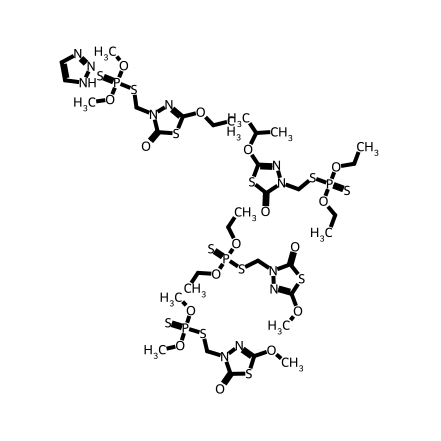 CCOP(=S)(OCC)SCn1nc(OC(C)C)sc1=O.CCOP(=S)(OCC)SCn1nc(OC)sc1=O.CCOc1nn(CSP(=S)(OC)OC)c(=O)s1.COc1nn(CSP(=S)(OC)OC)c(=O)s1.c1c[nH]nn1